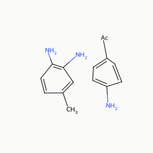 CC(=O)c1ccc(N)cc1.Cc1ccc(N)c(N)c1